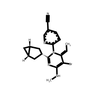 C/C=C1/C(Br)=C(NC)N=C([C@@H]2C[C@@H]3C[C@@H]3C2)N1c1ccc(C#N)cn1